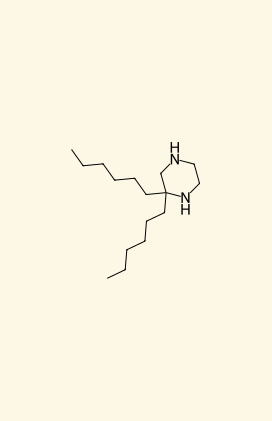 CCCCCCC1(CCCCCC)CNCCN1